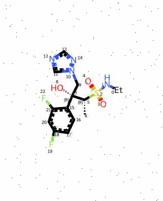 CCNS(=O)(=O)[C@H](C)[C@](O)(Cn1cncn1)c1ccc(F)cc1F